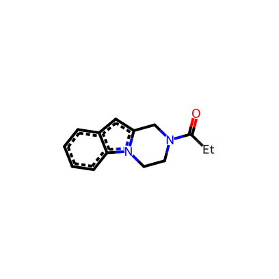 CCC(=O)N1CCn2c(cc3ccccc32)C1